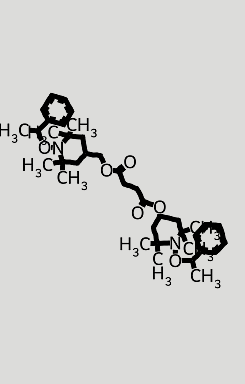 CC(ON1C(C)(C)CC(COC(=O)CCC(=O)OC2CC(C)(C)N(OC(C)c3ccccc3)C(C)(C)C2)CC1(C)C)c1ccccc1